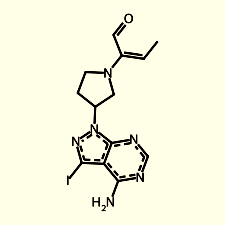 CC=C(C=O)N1CCC(n2nc(I)c3c(N)ncnc32)C1